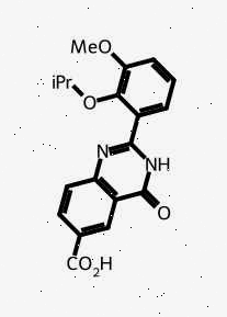 COc1cccc(-c2nc3ccc(C(=O)O)cc3c(=O)[nH]2)c1OC(C)C